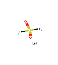 O=S(=O)(C(F)(F)F)C(F)(F)F.[LiH]